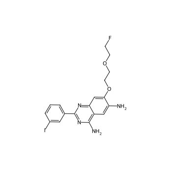 Nc1cc2c(N)nc(-c3cccc(I)c3)nc2cc1OCCOCCF